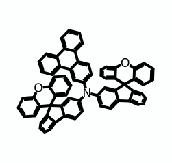 c1ccc2c(c1)Oc1ccccc1C21c2ccccc2-c2ccc(N(c3ccc4c(c3)C3(c5ccccc5Oc5ccccc53)c3ccccc3-4)c3ccc4c5ccccc5c5ccccc5c4c3)cc21